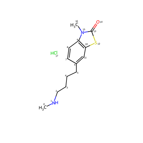 CNCCCCc1ccc2c(c1)sc(=O)n2C.Cl